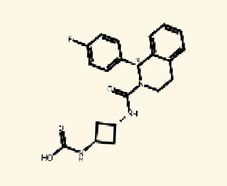 O=C(O)N[C@H]1C[C@H](NC(=O)N2CCc3ccccc3[C@@H]2c2ccc(F)cc2)C1